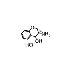 Cl.N[C@H]1COc2ccccc2C1O